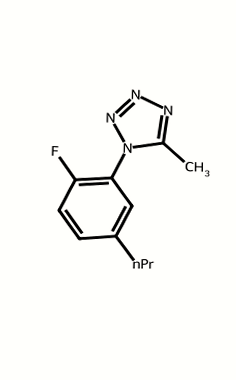 CCCc1ccc(F)c(-n2nnnc2C)c1